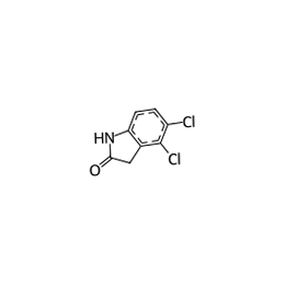 O=C1Cc2c(ccc(Cl)c2Cl)N1